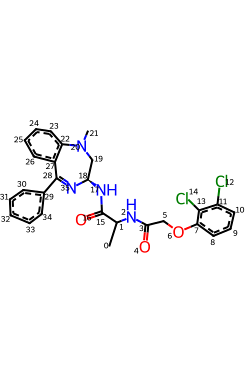 CC(NC(=O)COc1cccc(Cl)c1Cl)C(=O)N[C@@H]1CN(C)c2ccccc2C(c2ccccc2)=N1